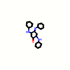 O=C1C=C(Nc2ccccc2)C(=Nc2ccccc2)C=C1Nc1ccccc1